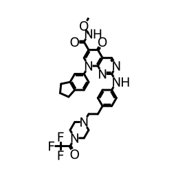 CONC(=O)c1cn(-c2ccc3c(c2)CCC3)c2nc(Nc3ccc(CCN4CCN(C(=O)C(F)(F)F)CC4)cc3)ncc2c1=O